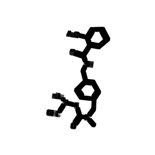 CCCCN(C=O)SC(=O)N(C)Cc1ccc(CNC(=O)c2ccccc2OC(C)=O)cc1